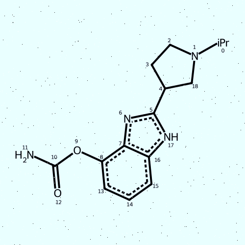 CC(C)N1CCC(c2nc3c(OC(N)=O)cccc3[nH]2)C1